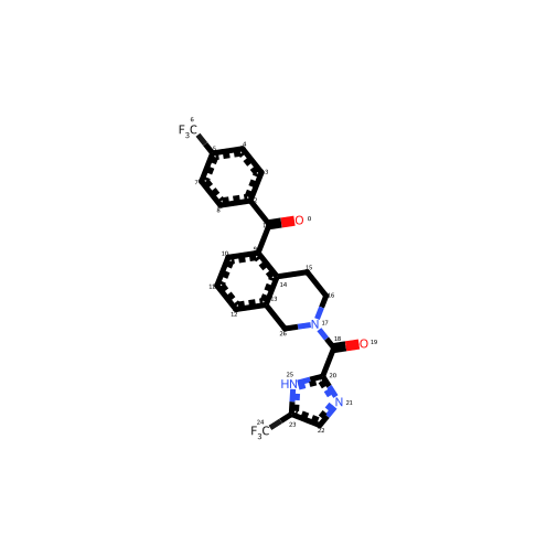 O=C(c1ccc(C(F)(F)F)cc1)c1cccc2c1CCN(C(=O)c1ncc(C(F)(F)F)[nH]1)C2